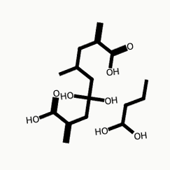 C=C(CC(C)CC(O)(O)CC(=C)C(=O)O)C(=O)O.CCCC(O)O